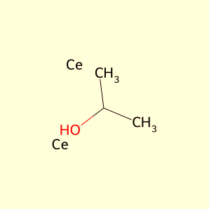 CC(C)O.[Ce].[Ce]